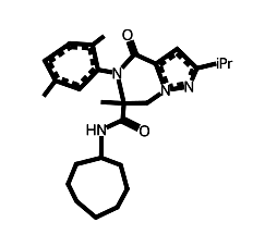 Cc1ccc(C)c(N2C(=O)c3cc(C(C)C)nn3CC2(C)C(=O)NC2CCCCCCC2)c1